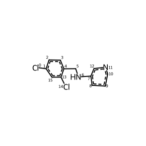 Clc1ccc(CNc2cccnc2)c(Cl)c1